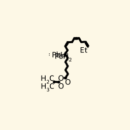 C=C(C)C(=O)OC(=O)CCCCCCC/C=C\C/C=C\C/C=C\CC.[PbH2].[PbH2]